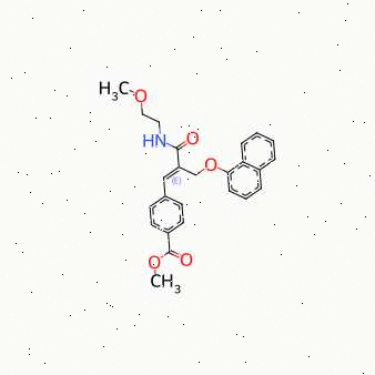 COCCNC(=O)/C(=C/c1ccc(C(=O)OC)cc1)COc1cccc2ccccc12